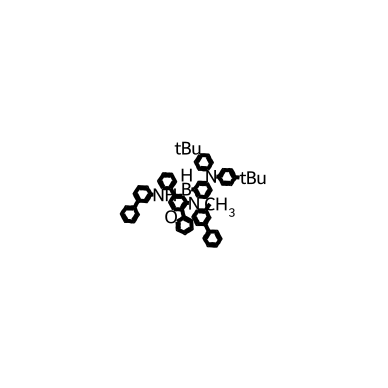 Cc1cc(-c2ccccc2)ccc1N1c2ccc(N(c3ccc(C(C)(C)C)cc3)c3ccc(C(C)(C)C)cc3)cc2Bc2c(-c3ccccc3Nc3cccc(-c4ccccc4)c3)cc3oc4ccccc4c3c21